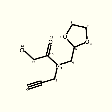 C#CCN(CC1OCCO1)C(=O)CCl